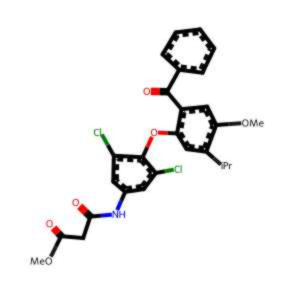 COC(=O)CC(=O)Nc1cc(Cl)c(Oc2cc(C(C)C)c(OC)cc2C(=O)c2ccccc2)c(Cl)c1